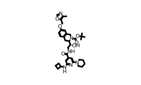 Cc1ncoc1COc1ccc2c(c1)CN(C(=O)OC(C)(C)C)C([C@H](O)CNC(=O)c1cc(NC3CCC3)nc(N3CCCCC3)c1)C2